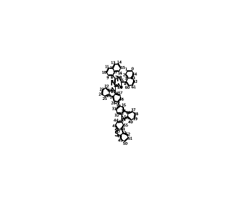 c1ccc2c(-c3nc(-c4cccc5ccccc45)nc(-n4c5ccccc5c5cc(-c6ccc7c(c6)c6ccccc6n7-c6ccc7sc8ccccc8c7c6)ccc54)n3)cccc2c1